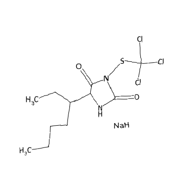 CCCCC(CC)C1NC(=O)N(SC(Cl)(Cl)Cl)C1=O.[NaH]